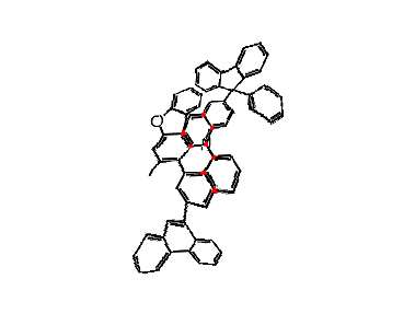 Cc1cc2oc3ccccc3c2c(N(c2ccccc2)c2ccc(C3(c4ccccc4)c4ccccc4-c4ccccc43)cc2)c1-c1cc(-c2cc3ccccc3c3ccccc23)ccc1C(C)c1ccccc1